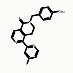 COc1ccc(CN2CCc3c(ccnc3-c3cc(F)ccn3)C2=O)cc1